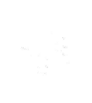 COc1ccc(-c2sc(-c3ccc4c(c3)N(C(=O)Nc3nc5ccccc5s3)CCO4)nc2OC(=O)O)cc1